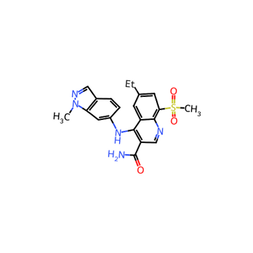 CCc1cc(S(C)(=O)=O)c2ncc(C(N)=O)c(Nc3ccc4cnn(C)c4c3)c2c1